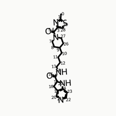 Cc1nc(C(=O)N2CCC(CCCCNC(=O)C3Cc4cnccc4N3)CC2)cs1